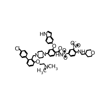 CN(C)CCOc1cccc(-c2ccc(Cl)cc2)c1CN1CCN(c2ccc(C(=O)NS(=O)(=O)c3ccc(NCC4CCOCC4)c([N+](=O)[O-])c3)c(Oc3ccc4[nH]ccc4c3)c2)CC1